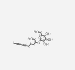 CC#CC#CCCCC(CO)O[C@@H]1OC(CO)[C@@H](O)C(O)C1O